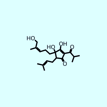 CC(C)=CCC1C(=O)C(C(=O)C(C)C)=C(O)C1(O)CCC=C(C)CO